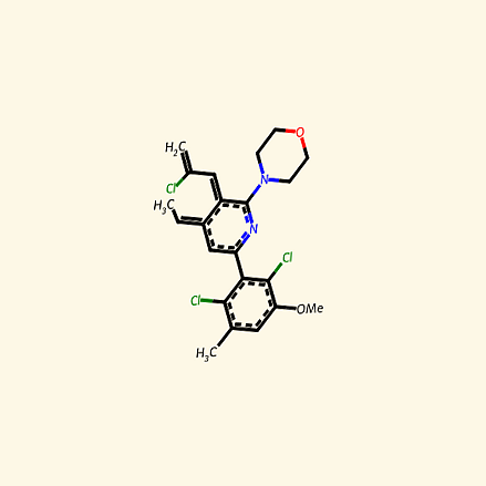 C=C(Cl)/C=c1/c(N2CCOCC2)nc(-c2c(Cl)c(C)cc(OC)c2Cl)c/c1=C/C